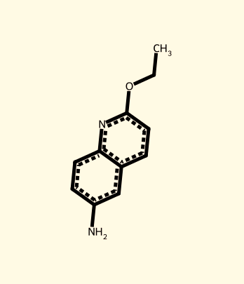 CCOc1ccc2cc(N)ccc2n1